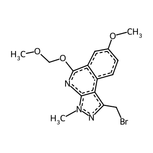 COCOc1nc2c(c(CBr)nn2C)c2ccc(OC)cc12